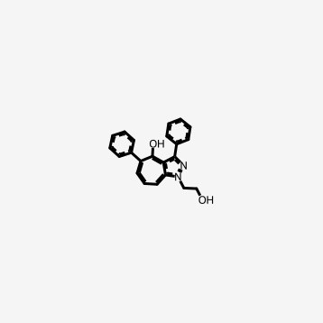 OCCn1nc(-c2ccccc2)c2c1=CC=C=C(c1ccccc1)C=2O